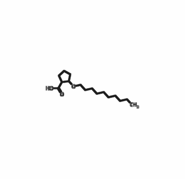 CCCCCCCCCCOC1CCCC1C(=O)O